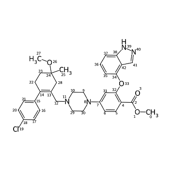 COC(=O)c1ccc(N2CCN(CC3=C(c4ccc(Cl)cc4)CCC(C)(OC)C3)CC2)cc1Oc1cccc2[nH]ncc12